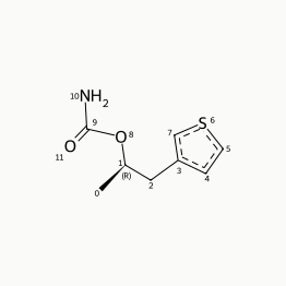 C[C@H](Cc1ccsc1)OC(N)=O